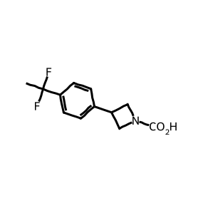 CC(F)(F)c1ccc(C2CN(C(=O)O)C2)cc1